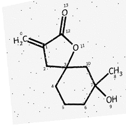 C=C1CC2(CCCC(C)(O)C2)OC1=O